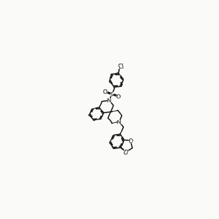 O=S(=O)(c1ccc(Cl)cc1)N1Cc2ccccc2C2(CCN(Cc3cccc4c3OCO4)CC2)C1